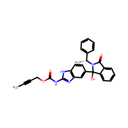 CC#CCOC(=O)Nc1nc2cc(C3(O)c4ccccc4C(=O)N3[C@H](C)c3ccccc3)ccc2[nH]1